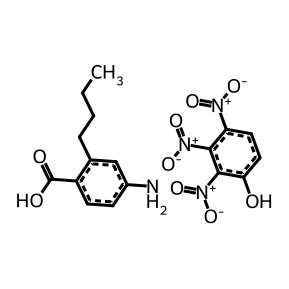 CCCCc1cc(N)ccc1C(=O)O.O=[N+]([O-])c1ccc(O)c([N+](=O)[O-])c1[N+](=O)[O-]